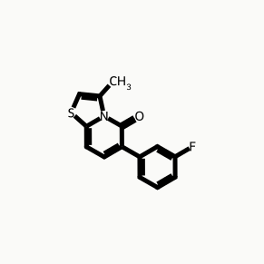 Cc1csc2ccc(-c3cccc(F)c3)c(=O)n12